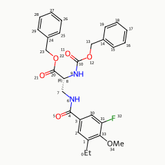 CCc1cc(C(=O)NC[C@@H](NC(=O)OCc2ccccc2)C(=O)OCc2ccccc2)cc(F)c1OC